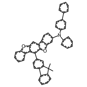 CC1(C)c2ccccc2-c2ccc(-c3c4oc5cc(N(c6ccccc6)c6ccc(-c7ccccc7)cc6)ccc5c4cc4oc5ccccc5c34)cc21